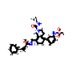 CC(C)(C)NC(=O)N1CCc2c(-c3cccc(NS(C)(=O)=O)c3)ccc(CNC(=O)C3C[C@H]3c3ccccc3)c2C1